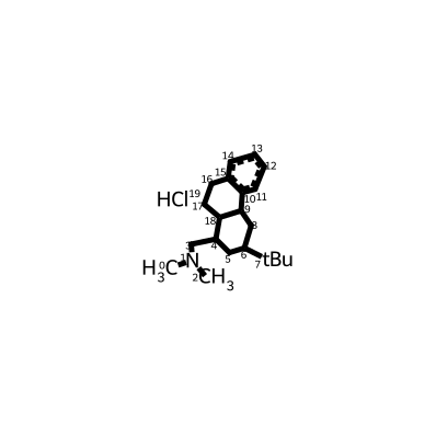 CN(C)CC1CC(C(C)(C)C)CC2c3ccccc3CCC12.Cl